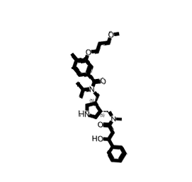 COCCCOc1cc(C(=O)N(C[C@@H]2CNC[C@H]2CN(C)C(=O)CC(O)c2ccccc2)C(C)C)ccc1C